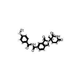 CCSc1ccc(C(=O)NC(=O)c2ccc3c(c2)C(=O)N(C2(C)CCC(=O)NC2=O)C3)cc1